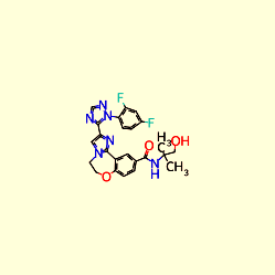 CC(C)(CO)NC(=O)c1ccc2c(c1)-c1nc(-c3ncnn3-c3ccc(F)cc3F)cn1CCO2